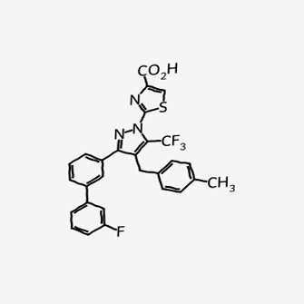 Cc1ccc(Cc2c(-c3cccc(-c4cccc(F)c4)c3)nn(-c3nc(C(=O)O)cs3)c2C(F)(F)F)cc1